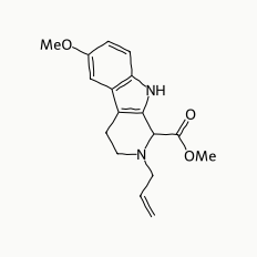 C=CCN1CCc2c([nH]c3ccc(OC)cc23)C1C(=O)OC